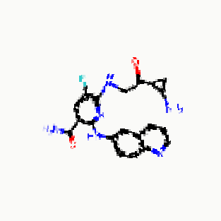 NC(=O)c1cc(F)c(NCC(=O)C2CC2N)nc1Nc1ccc2ncccc2c1